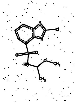 COC(C)NS(=O)(=O)c1cccc2sc(Cl)nc12